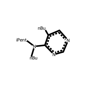 CCCCc1cncnc1N(CCCC)C(C)CCC